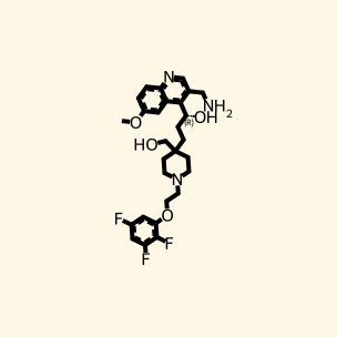 COc1ccc2ncc(CN)c([C@H](O)CCC3(CO)CCN(CCOc4cc(F)cc(F)c4F)CC3)c2c1